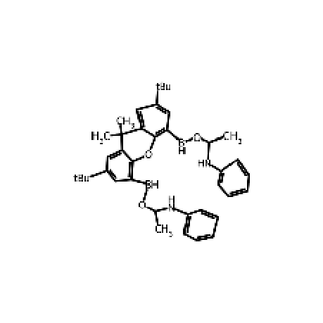 CC(Nc1ccccc1)OBc1cc(C(C)(C)C)cc2c1Oc1c(BOC(C)Nc3ccccc3)cc(C(C)(C)C)cc1C2(C)C